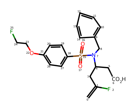 C=C(F)CC(CC(=O)O)N(Cc1ccccc1)S(=O)(=O)c1ccc(OCCF)cc1